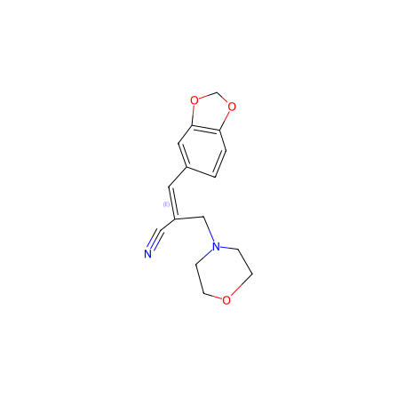 N#C/C(=C/c1ccc2c(c1)OCO2)CN1CCOCC1